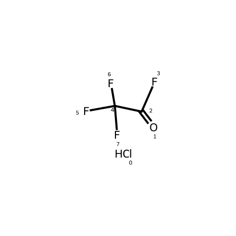 Cl.O=C(F)C(F)(F)F